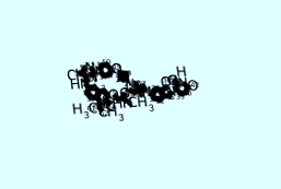 CNC(=O)COc1cc2cc(Nc3nc(N4CCC(O[C@H]5C[C@H](N6CCC7(CN(c8ccc9c(c8)C(=O)N(C8CCC(=O)NC8=O)C9)C7)C6)C5)CC4)ncc3Cl)ccc2n(C(C)C)c1=O